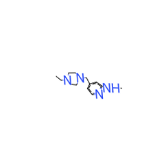 CCN1CCN(Cc2ccnc([NH])c2)CC1